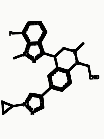 CN1CC(c2nn(C)c3c(F)cccc23)c2cc(-c3cnn(C4CC4)c3)ccc2N1CC=O